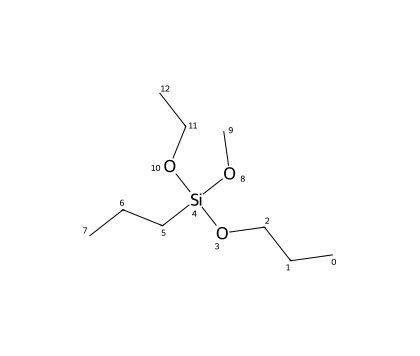 CCCO[Si](CCC)(OC)OCC